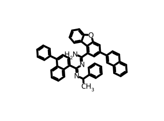 CC(/N=C(\N=C(/N)c1cc(-c2ccc3ccccc3c2)cc2oc3ccccc3c12)c1ccc(-c2ccccc2)c2ccccc12)c1ccccc1